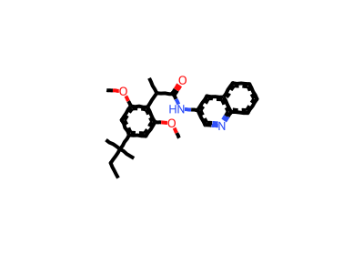 CCC(C)(C)c1cc(OC)c(C(C)C(=O)Nc2cnc3ccccc3c2)c(OC)c1